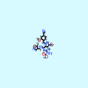 COC(=O)Nc1nc(NCc2cnoc2C)c2c(n1)c(Br)nn2Cc1ccc(C#N)cc1OC